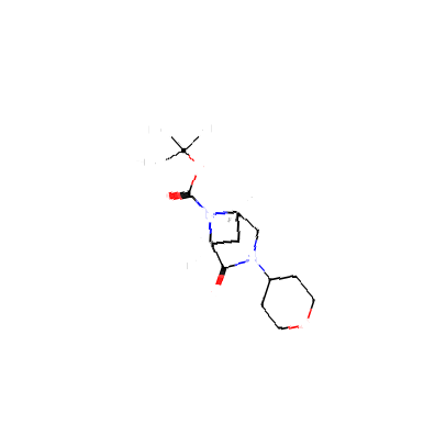 CC(C)(C)OC(=O)N1[C@@H]2C[C@H]1C(=O)N(C1CCOCC1)C2